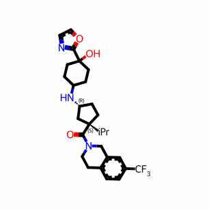 CC(C)[C@]1(C(=O)N2CCc3ccc(C(F)(F)F)cc3C2)CC[C@@H](NC2CCC(O)(c3ncco3)CC2)C1